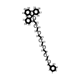 c1ccc(COCCOCCOCCOCCOCCOCCOC(c2ccccc2)(c2ccccc2)c2ccccc2)cc1